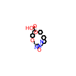 CN1C(=O)N(Cc2ccc3ccccc3n2)C[C@@H]1CCOc1ccc(C[C@](C)(Oc2ccccc2)C(=O)O)cc1